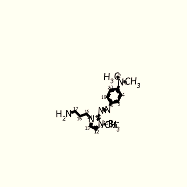 CN(C)c1ccc(N=Nc2n(C)cc[n+]2CCCN)cc1.[Br-]